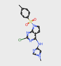 Cc1ccc(S(=O)(=O)n2ccc3c(Nc4cn(C)cn4)nc(Cl)nc32)cc1